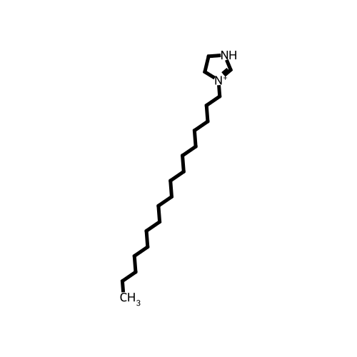 CCCCCCCCCCCCCCCCC[N+]1=CNCC1